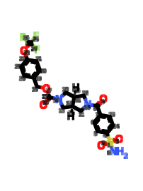 NS(=O)(=O)c1ccc(C(=O)N2C[C@H]3CN(C(=O)OCc4ccc(OC(F)(F)F)cc4)C[C@H]3C2)cc1